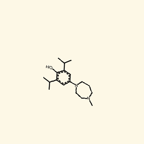 CC(C)c1cc(N2CCCN(C)CC2)cc(C(C)C)c1O